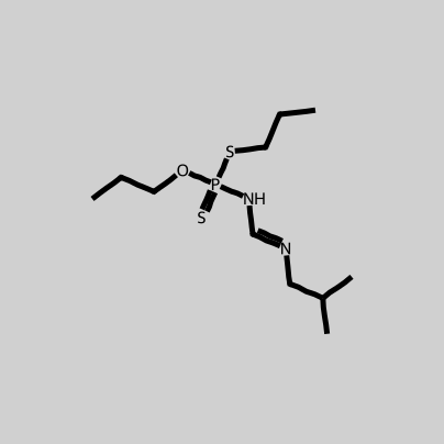 CCCOP(=S)(NC=NCC(C)C)SCCC